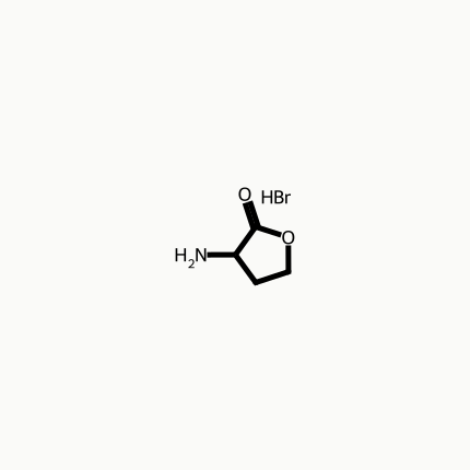 Br.NC1CCOC1=O